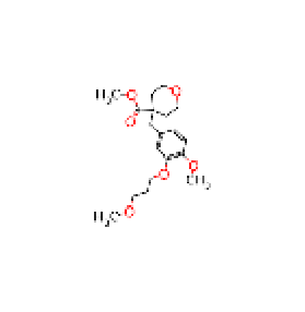 COCCCOc1cc(CC2(C(=O)OC)CCOCC2)ccc1OC